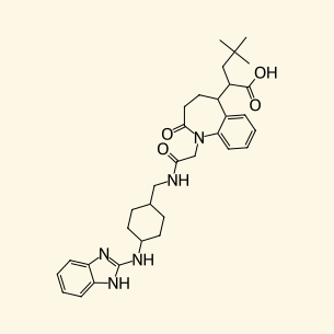 CC(C)(C)CC(C(=O)O)C1CCC(=O)N(CC(=O)NCC2CCC(Nc3nc4ccccc4[nH]3)CC2)c2ccccc21